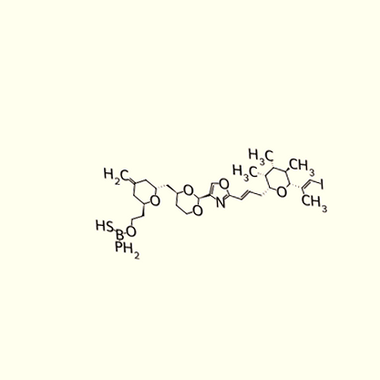 C=C1C[C@H](C[C@@H]2CCO[C@H](c3coc(/C=C/C[C@H]4O[C@@H](/C(C)=C/I)[C@H](C)[C@@H](C)[C@H]4C)n3)O2)O[C@@H](CCOB(P)S)C1